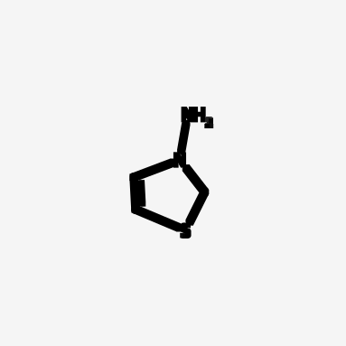 NN1C=CSC1